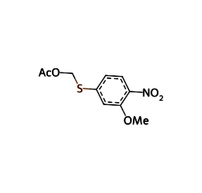 COc1cc(SCOC(C)=O)ccc1[N+](=O)[O-]